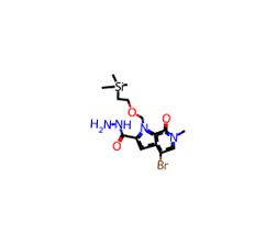 Cn1cc(Br)c2cc(C(=O)NN)n(COCC[Si](C)(C)C)c2c1=O